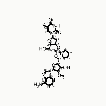 CO[C@@H]1C(O)[C@@H](COP(=O)(OC2C[C@H](n3cc(C)c(=O)[nH]c3=O)O[C@@H]2CO)N2CCCC2)O[C@H]1n1cnc2c(N)ncnc21